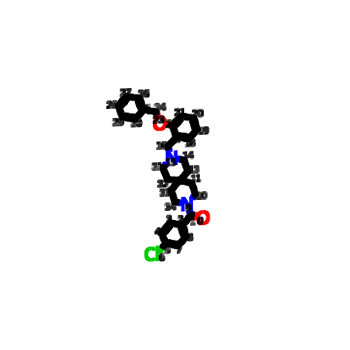 O=C(c1ccc(Cl)cc1)N1CCC2(CCN(Cc3ccccc3OCc3ccccc3)CC2)CC1